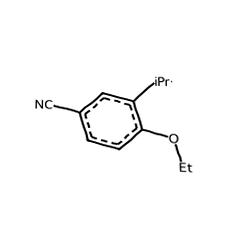 CCOc1ccc(C#N)cc1[C](C)C